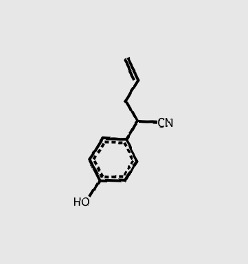 C=CCC(C#N)c1ccc(O)cc1